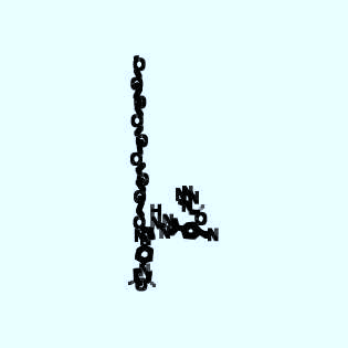 COCCOCCOCCOCCOCCOCCOCCOCCCOc1nn(C2CCC(N3C[C@@H](C)O[C@@H](C)C3)CC2)cc1Nc1ncc(-c2ccc(C#N)c(O[C@@H](C)Cn3cnnn3)c2)cn1